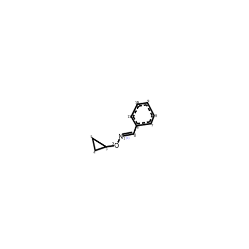 [C](=N\OC1CC1)/c1ccccc1